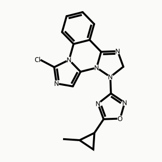 CC1CC1c1nc(N2CN=C3c4ccccc4-n4c(cnc4Cl)N32)no1